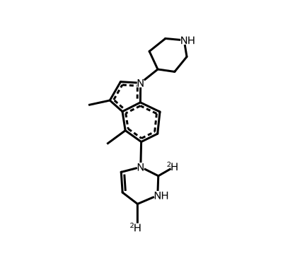 [2H]C1C=CN(c2ccc3c(c(C)cn3C3CCNCC3)c2C)C([2H])N1